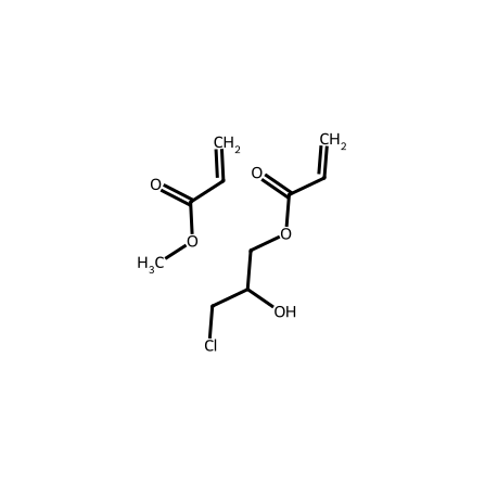 C=CC(=O)OC.C=CC(=O)OCC(O)CCl